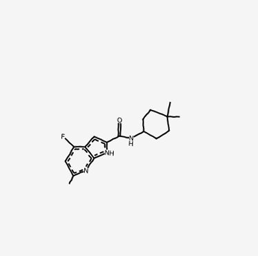 Cc1cc(F)c2cc(C(=O)NC3CCC(C)(C)CC3)[nH]c2n1